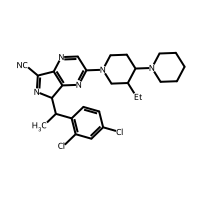 CCC1CN(c2cnc3c(n2)C(C(C)c2ccc(Cl)cc2Cl)N=C3C#N)CCC1N1CCCCC1